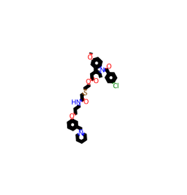 COc1ccc2c(c1)c(CC(=O)OCCSCC(=O)NCCCOc1cccc(CN3CCCCC3)c1)c(C)n2C(=O)c1ccc(Cl)cc1